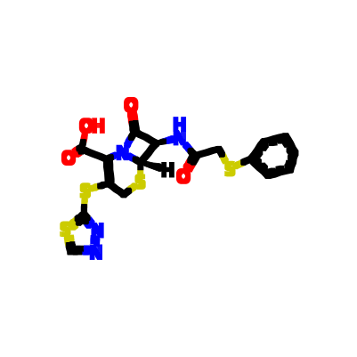 O=C(CSc1ccccc1)N[C@@H]1C(=O)N2C(C(=O)O)=C(Sc3nncs3)CS[C@@H]12